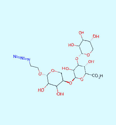 [N-]=[N+]=NCCO[C@@H]1OC[C@@H](O[C@@H]2OC(C(=O)O)[C@@H](O)C(O[C@H]3OC[C@@H](O)C(O)C3O)C2O)C(O)C1O